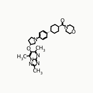 Cc1nc2nc(C)c(O[C@@H]3CCN(c4ccc([C@H]5CC[C@H](C(=O)N6CCOCC6)CC5)cc4)C3)c(C)n2n1